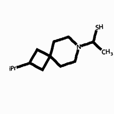 CC(C)C1CC2(CCN(C(C)S)CC2)C1